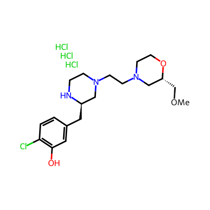 COC[C@@H]1CN(CCN2CCN[C@H](Cc3ccc(Cl)c(O)c3)C2)CCO1.Cl.Cl.Cl